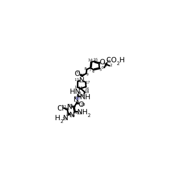 CC(C)(Oc1ccc(CCC(=O)N2CCC3(CC2)CN/C(=N\C(=O)c2nc(Cl)c(N)nc2N)N3)cc1)C(=O)O